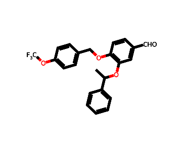 CC(Oc1cc(C=O)ccc1OCc1ccc(OC(F)(F)F)cc1)c1ccccc1